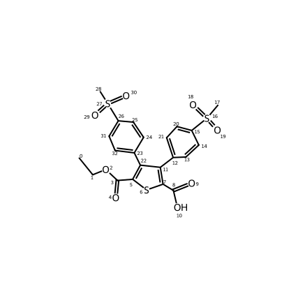 CCOC(=O)c1sc(C(=O)O)c(-c2ccc(S(C)(=O)=O)cc2)c1-c1ccc(S(C)(=O)=O)cc1